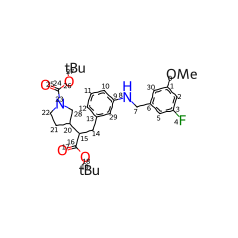 COc1cc(F)cc(CNc2cccc(CC(C(=O)OC(C)(C)C)C3CCN(C(=O)OC(C)(C)C)C3)c2)c1